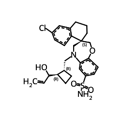 C=CC(O)[C@@H]1CC[C@H]1CN1C[C@@]2(CCCc3cc(Cl)ccc32)COc2ccc(S(N)(=O)=O)cc21